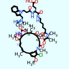 CNN(C)Cc1cc2ccccc2n1CCC(=O)N[C@@H](CCC(=O)O)C(=O)NCCCCCC(=O)N(C)[C@@H](C)C(=O)O[C@H]1CC(=O)N(C)c2cc(cc(OC)c2Cl)C/C(C)=C/C=C/[C@@H](OC)[C@@]2(O)C[C@H](OC(=O)N2)[C@@H](C)C2O[C@]21C